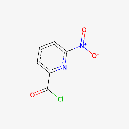 O=C(Cl)c1cccc([N+](=O)[O-])n1